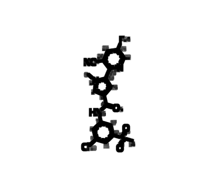 Cn1cc(C(=O)Nc2cc(Cl)cc(S(C)(=O)=O)c2)cc1-c1ncc(F)cc1C#N